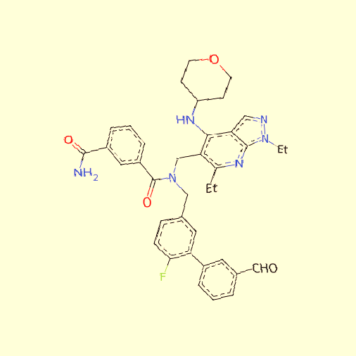 CCc1nc2c(cnn2CC)c(NC2CCOCC2)c1CN(Cc1ccc(F)c(-c2cccc(C=O)c2)c1)C(=O)c1cccc(C(N)=O)c1